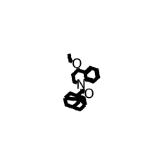 CCOC1CCN(C(=O)C23CC4CC(CC(C4)C2)C3)c2ccccc21